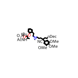 CCCCCCCCCCCCC(C#N)(CCCN(C)CCc1ccccc1OC(O[N+](=O)[O-])(C(C)NC(C)=O)C(C)(C)C)c1cc(OC)c(OC)c(OC)c1